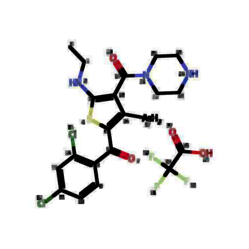 CCNc1sc(C(=O)c2ccc(Cl)cc2Cl)c([AsH2])c1C(=O)N1CCNCC1.O=C(O)C(F)(F)F